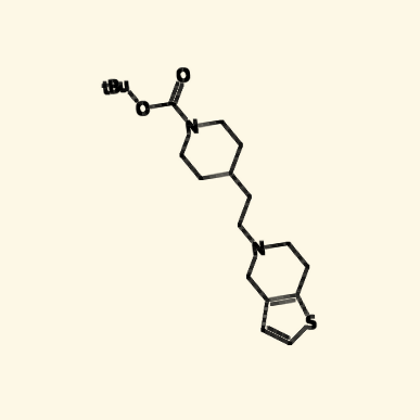 CC(C)(C)OC(=O)N1CCC(CCN2CCc3sccc3C2)CC1